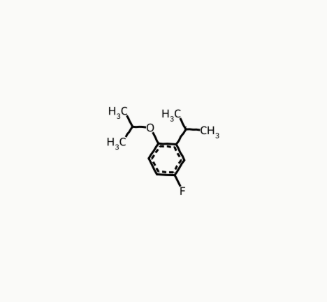 C[C](C)c1cc(F)ccc1OC(C)C